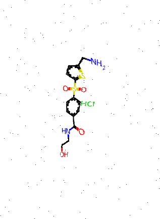 Cl.NCc1ccc(S(=O)(=O)c2ccc(C(=O)NCCO)cc2)s1